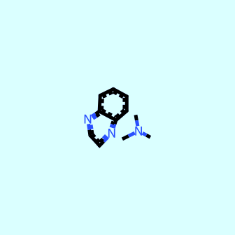 CN(C)C.c1ccc2nccnc2c1